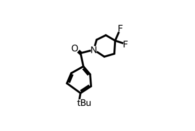 CC(C)(C)c1ccc(C(=O)N2CCC(F)(F)CC2)cc1